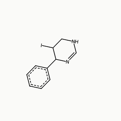 IC1CNC=NC1c1ccccc1